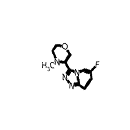 CN1CCOCC1c1nnc2ccc(F)cn12